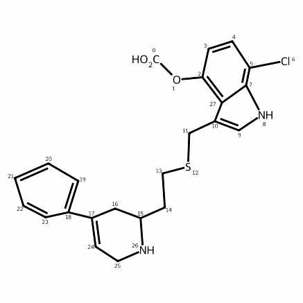 O=C(O)Oc1ccc(Cl)c2[nH]cc(CSCCC3CC(c4ccccc4)=CCN3)c12